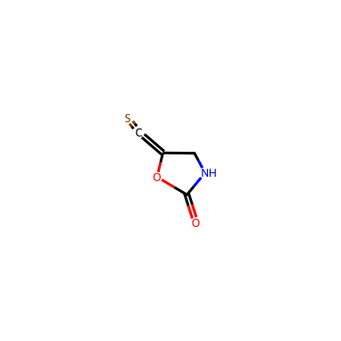 O=C1NCC(=C=S)O1